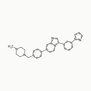 CN1CCN(Cc2ccc(-c3ccn4c(-c5cccc(-n6cccn6)c5)cnc4c3)cc2)CC1